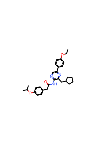 CCOc1ccc(-c2cnc(NC(=O)Cc3ccc(OC(C)C)cc3)c(CC3CCCC3)n2)cc1